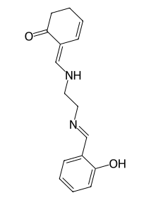 O=C1CCC=C/C1=C\NCCN=Cc1ccccc1O